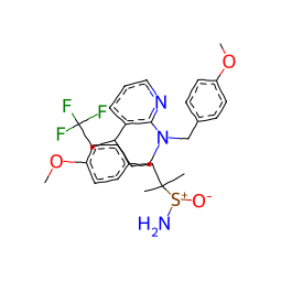 COc1ccc(CN(Cc2ccc(OC)cc2)c2ncccc2C(CCC(C)(C)[S+](N)[O-])CC(F)(F)F)cc1